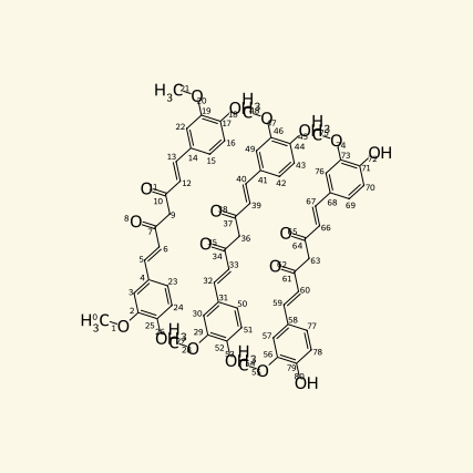 COc1cc(C=CC(=O)CC(=O)C=Cc2ccc(O)c(OC)c2)ccc1O.COc1cc(C=CC(=O)CC(=O)C=Cc2ccc(O)c(OC)c2)ccc1O.COc1cc(C=CC(=O)CC(=O)C=Cc2ccc(O)c(OC)c2)ccc1O